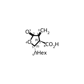 C=C1C(=O)O[C@@H](CCCCCC)[C@@H]1C(=O)O